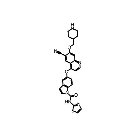 N#Cc1cc2c(Oc3ccc4c(ccn4C(=O)Nc4nccs4)c3)ccnc2cc1OCC1CCNCC1